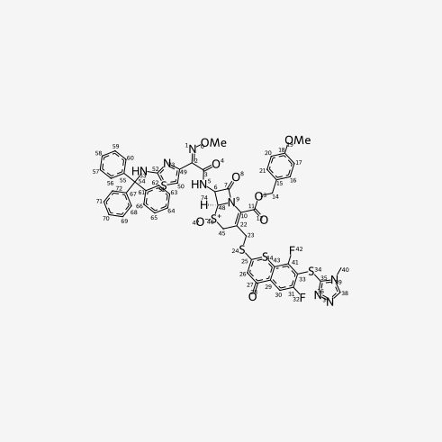 CO/N=C(\C(=O)NC1C(=O)N2C(C(=O)OCc3ccc(OC)cc3)=C(CSc3cc(=O)c4cc(F)c(Sc5nncn5C)c(F)c4s3)C[S+]([O-])[C@@H]12)c1csc(NC(c2ccccc2)(c2ccccc2)c2ccccc2)n1